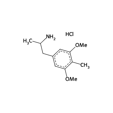 COc1cc(CC(C)N)cc(OC)c1C.Cl